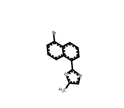 Cc1cnc(-c2cccc3c(Br)cccc23)o1